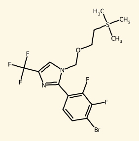 CS(C)(C)CCOCn1cc(C(F)(F)F)nc1-c1ccc(Br)c(F)c1F